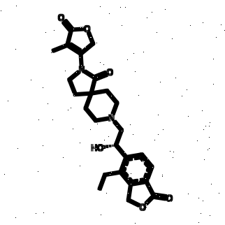 CCc1c([C@H](O)CN2CCC3(CC2)CCN(C2=C(C)C(=O)OC2)C3=O)ccc2c1COC2=O